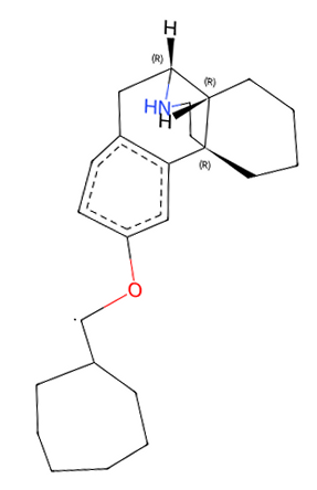 [CH](Oc1ccc2c(c1)[C@@]13CCCC[C@H]1[C@@H](C2)NCC3)C1CCCCCC1